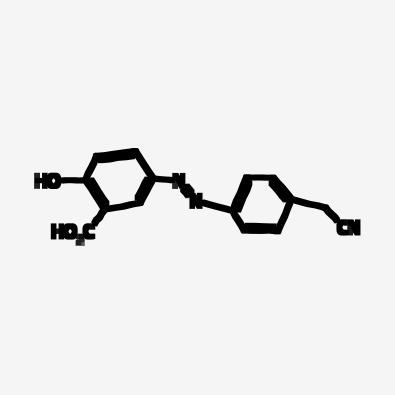 N#CCc1ccc(N=Nc2ccc(O)c(C(=O)O)c2)cc1